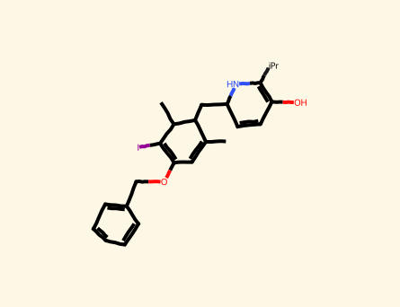 CC1=CC(OCc2ccccc2)=C(I)C(C)C1CC1C=CC(O)=C(C(C)C)N1